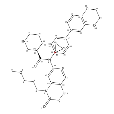 COCCCN1C(=O)COc2ccc(N(C(=O)[C@H]3CNCC[C@@H]3c3cccc(-c4ccc5c(c4)OCCO5)c3)C3CC3)cc21